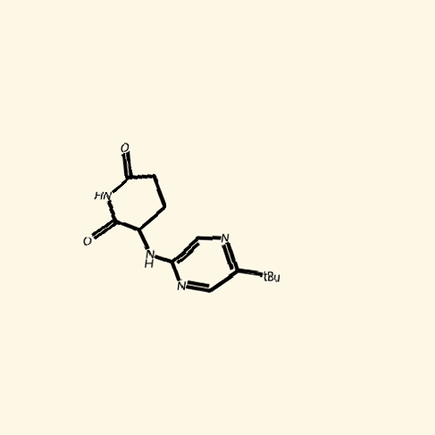 CC(C)(C)c1cnc(NC2CCC(=O)NC2=O)cn1